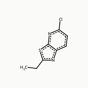 CCc1nc2ccc(Cl)nc2s1